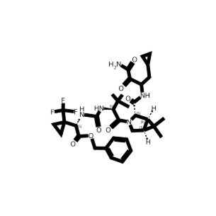 CC(C)(C)[C@H](NC(=O)N[C@H](C(=O)OCc1ccccc1)C1(C(F)(F)F)CC1)C(=O)N1C[C@H]2[C@@H]([C@H]1C(=O)NC(CC1CC1)C(=O)C(N)=O)C2(C)C